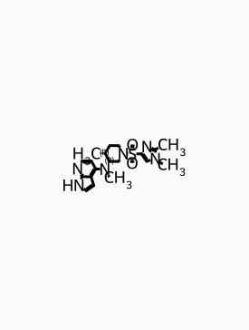 Cc1nc(S(=O)(=O)N2CC[C@@H](C)[C@@H](N(C)c3ccnc4[nH]ccc34)C2)cn1C